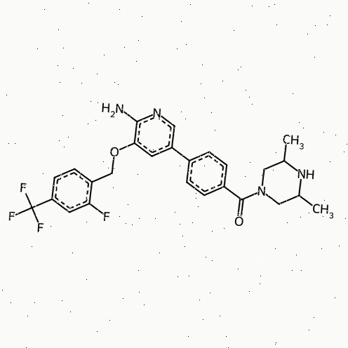 CC1CN(C(=O)c2ccc(-c3cnc(N)c(OCc4ccc(C(F)(F)F)cc4F)c3)cc2)CC(C)N1